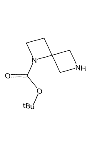 CC(C)(C)OC(=O)N1CCC12CNC2